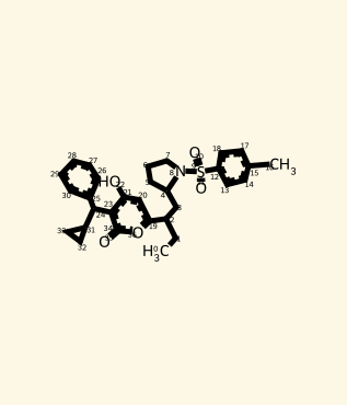 CCC(CC1CCCN1S(=O)(=O)c1ccc(C)cc1)c1cc(O)c(C(c2ccccc2)C2CC2)c(=O)o1